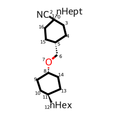 CCCCCCC[C@]1(C#N)CC[C@H](CO[C@H]2CC[C@H](CCCCCC)CC2)CC1